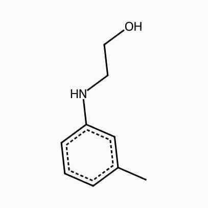 Cc1cccc(NCCO)c1